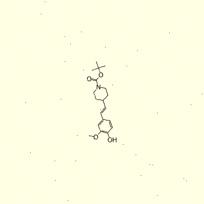 COc1cc(/C=C/C2CCN(C(=O)OC(C)(C)C)CC2)ccc1O